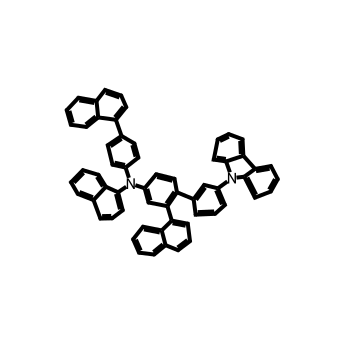 c1cc(-c2ccc(N(c3ccc(-c4cccc5ccccc45)cc3)c3cccc4ccccc34)cc2-c2cccc3ccccc23)cc(-n2c3ccccc3c3ccccc32)c1